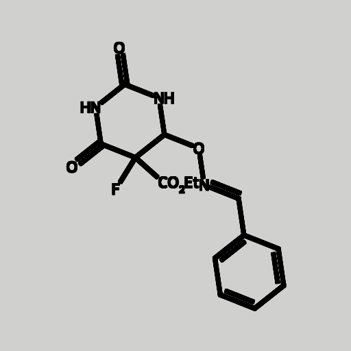 CCOC(=O)C1(F)C(=O)NC(=O)NC1ON=Cc1ccccc1